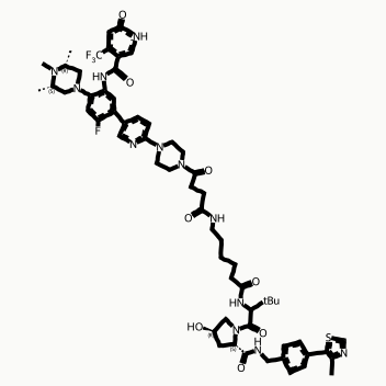 Cc1ncsc1-c1ccc(CNC(=O)[C@@H]2C[C@@H](O)CN2C(=O)C(NC(=O)CCCCCNC(=O)CCC(=O)N2CCN(c3ccc(-c4cc(NC(=O)c5c[nH]c(=O)cc5C(F)(F)F)c(N5C[C@@H](C)N(C)[C@@H](C)C5)cc4F)cn3)CC2)C(C)(C)C)cc1